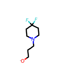 [O]CCCN1CCC(F)(F)CC1